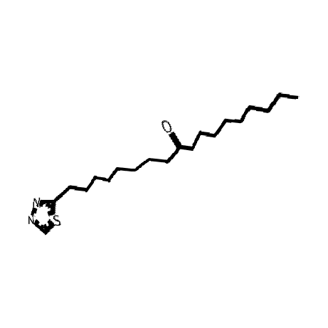 CCCCCCCCCC(=O)CCCCCCCCc1nncs1